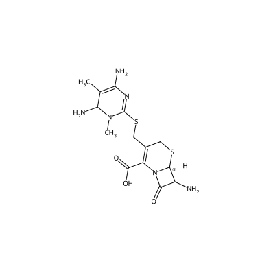 CC1=C(N)N=C(SCC2=C(C(=O)O)N3C(=O)C(N)[C@@H]3SC2)N(C)C1N